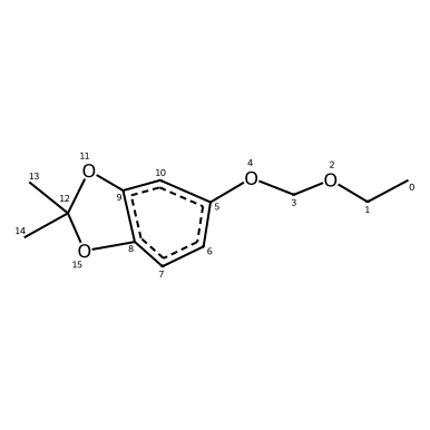 CCOCOc1ccc2c(c1)OC(C)(C)O2